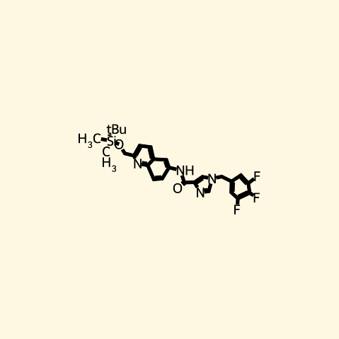 CC(C)(C)[Si](C)(C)OCc1ccc2cc(NC(=O)c3cn(Cc4cc(F)c(F)c(F)c4)cn3)ccc2n1